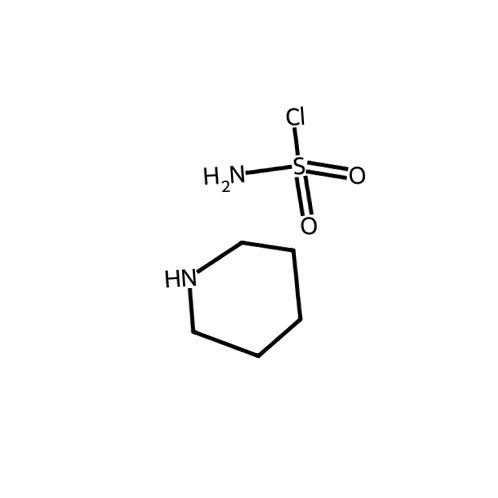 C1CCNCC1.NS(=O)(=O)Cl